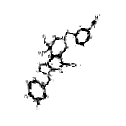 N#Cc1cccc(CN2Cc3c(n4c(nc3=O)N(Cc3cccc(F)c3)CC4)C(F)(F)C2)c1